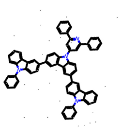 c1ccc(-c2cc(-n3c4ccc(-c5ccc6c(c5)c5ccccc5n6-c5ccccc5)cc4c4cc(-c5ccc6c(c5)c5ccccc5n6-c5ccccc5)ccc43)cc(-c3ccccc3)n2)cc1